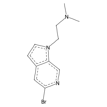 CN(C)CCn1ccc2cc(Br)ncc21